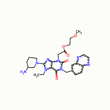 CCn1c(N2CCCC(N)C2)nc2c1c(=O)n(Cc1ccc3nccnc3c1)c(=O)n2CC(=O)OCCOC